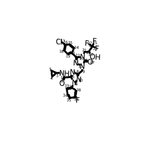 O=C(NC1CC1)c1nc(Cn2nc(-c3ccc(Cl)cc3)n(CC(O)C(F)(F)F)c2=O)nn1-c1cccc(F)c1